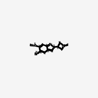 COc1cc2nn(C3CN(C)C3)cc2cc1Br